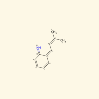 CC(C)=C/C=C1/C=CC=CC1=N